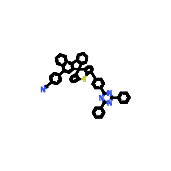 N#Cc1ccc(-c2cc3c(c4ccccc24)-c2ccccc2C32c3ccccc3Sc3c(-c4ccc(-c5nc(-c6ccccc6)nc(-c6ccccc6)n5)cc4)cccc32)cc1